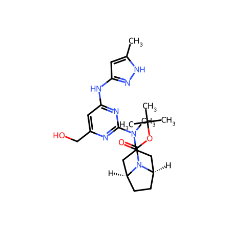 Cc1cc(Nc2cc(CO)nc(N(C)C3C[C@H]4CC[C@@H](C3)N4C(=O)OC(C)(C)C)n2)n[nH]1